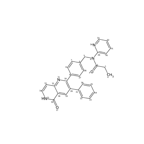 CCC(=O)N(Cc1ccc(-c2nc3cc[nH]c(=O)c3cc2-c2ccccc2)cc1)c1ccccn1